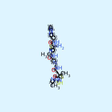 Cc1ccnc(-n2c(S)nc3sc(C)c(C#CC(=O)NCCN4CCC(C(=O)NC(C)c5ccc6c(N)c(C(=O)NC7CCc8cc(N9CC%10CCC(C9)N%10)ccc8C7)sc6n5)CC4)c3c2=O)c1